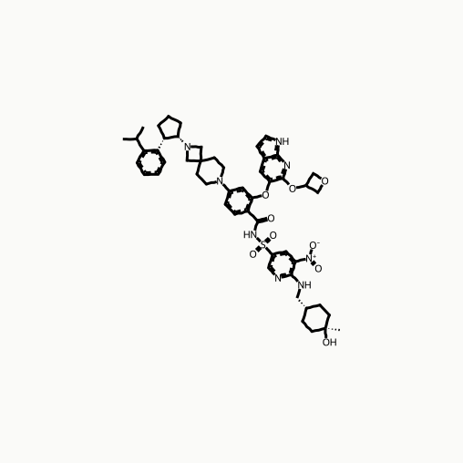 CC(C)c1ccccc1[C@@H]1CCC[C@@H]1N1CC2(CCN(c3ccc(C(=O)NS(=O)(=O)c4cnc(NC[C@H]5CC[C@](C)(O)CC5)c([N+](=O)[O-])c4)c(Oc4cc5cc[nH]c5nc4OC4COC4)c3)CC2)C1